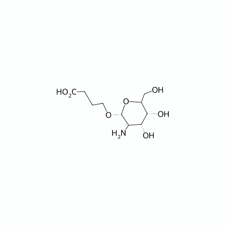 NC1[C@H](OCCCC(=O)O)OC(CO)[C@H](O)[C@@H]1O